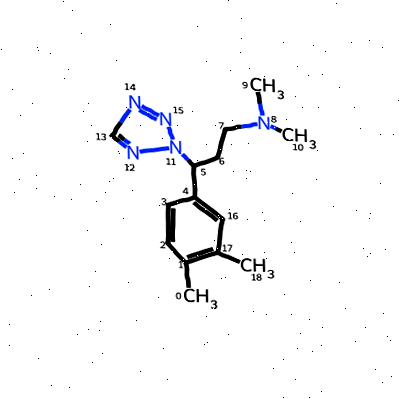 Cc1ccc(C(CCN(C)C)n2ncnn2)cc1C